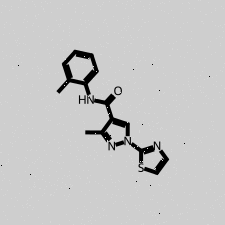 Cc1ccccc1NC(=O)c1cn(-c2nccs2)nc1C